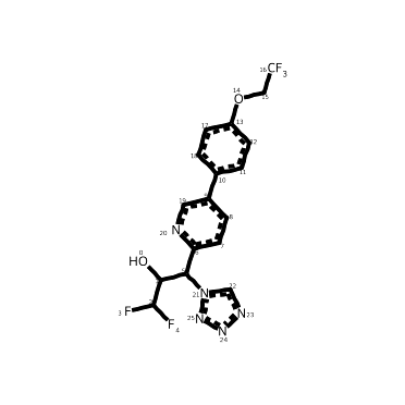 OC(C(F)F)C(c1ccc(-c2ccc(OCC(F)(F)F)cc2)cn1)n1cnnn1